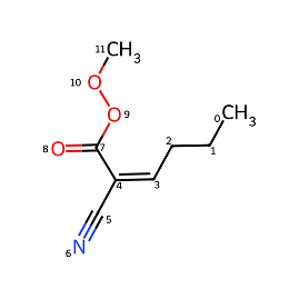 CCCC=C(C#N)C(=O)OOC